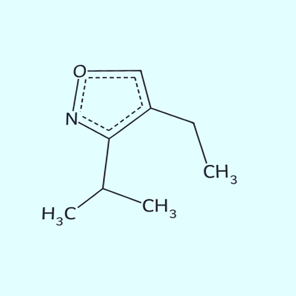 CCc1conc1C(C)C